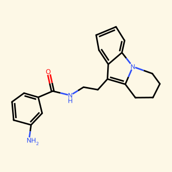 Nc1cccc(C(=O)NCCc2c3n(c4ccccc24)CCCC3)c1